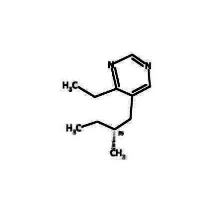 CCc1ncncc1C[C@H](C)CC